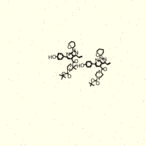 C=Cc1nn(C2CCCCO2)c2nc(-c3ccc(O)cc3)cc(C(=O)N3CCN(C(=O)OC(C)(C)C)CC3(C)C)c12.C=Cc1nn(C2CCCCO2)c2nc(-c3ccc(O)cc3)cc(C(=O)N3CCN(C(=O)OC(C)(C)C)CC3)c12